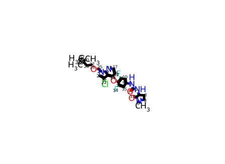 CN1CCC(NC(=O)Nc2cc(F)c(Oc3ccnc4c3c(Cl)cn4COCC[Si](C)(C)C)c(F)c2)C1=O